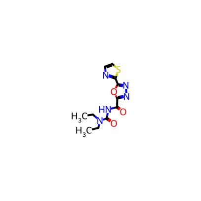 CCN(CC)C(=O)NC(=O)c1nnc(-c2nccs2)o1